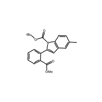 COC(=O)c1ccccc1-c1cc2cc(C)ccc2n1C(=O)OC(C)(C)C